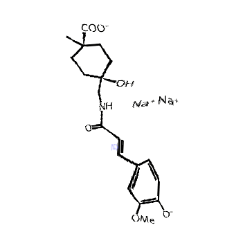 COc1cc(/C=C/C(=O)NC[C@]2(O)CC[C@@](C)(C(=O)[O-])CC2)ccc1[O-].[Na+].[Na+]